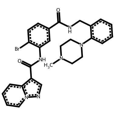 CN1CCN(c2ccccc2CNC(=O)c2ccc(Br)c(NC(=O)c3cnn4ccccc34)c2)CC1